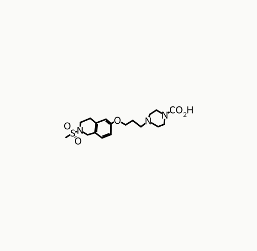 CS(=O)(=O)N1CCc2cc(OCCCN3CCN(C(=O)O)CC3)ccc2C1